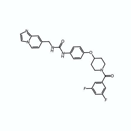 O=C(NCc1ccn2ccnc2c1)Nc1ccc(OC2CCN(C(=O)c3cc(F)cc(F)c3)CC2)cc1